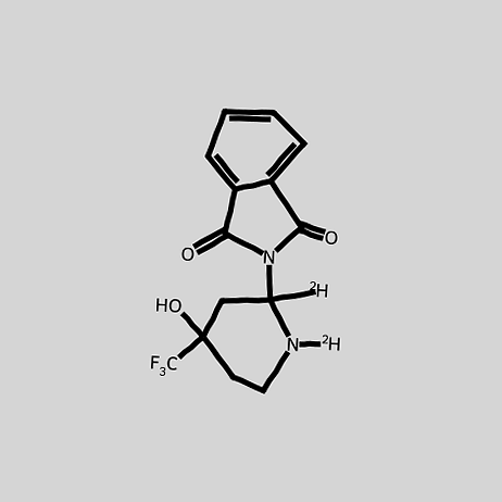 [2H]N1CCC(O)(C(F)(F)F)CC1([2H])N1C(=O)c2ccccc2C1=O